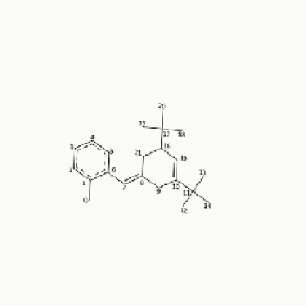 Cc1ccccc1C=C1CC(C(C)(C)C)=CC(C(C)(C)C)C1